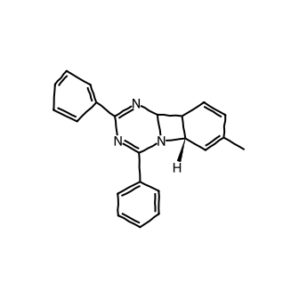 CC1=C[C@H]2C(C=C1)C1N=C(c3ccccc3)N=C(c3ccccc3)N12